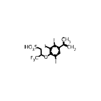 C=C(C)c1cc(I)c(OC(CS(=O)(=O)O)C(F)(F)F)c(I)c1I